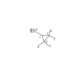 C[CH]C1C(C)(C)C1(C)C